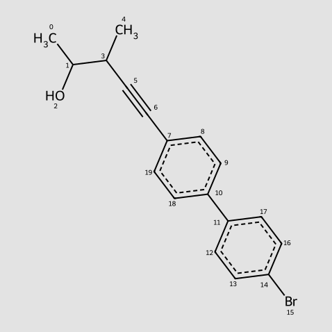 CC(O)C(C)C#Cc1ccc(-c2ccc(Br)cc2)cc1